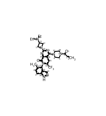 C=CC(=O)N1CCN(c2nc(N3CC(N(CC)CC)C3)nc3c(=O)n(-c4c(C)ccc5[nH]ncc45)c(C(F)(F)F)cc23)CC1